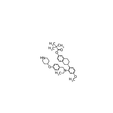 CCN(Cc1ccc(OC2CCNCC2)cc1)c1cc(OC)ccc1[C@@H]1CCc2cc(OC(=O)C(C)(C)C)ccc2C1